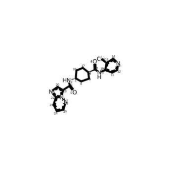 O=C(N[C@H]1CC[C@H](C(=O)Nc2ccncc2Cl)CC1)c1cnc2cccnn12